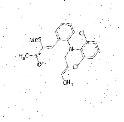 C/C=C/CN(c1ccccc1/C=C(\SC)[S+](C)[O-])c1c(Cl)cccc1Cl